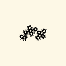 c1ccc(-c2cc(-c3cccc(-c4c5ccccc5c(-c5cccc(-c6ccnc7ccccc67)c5)c5ccccc45)c3)cc(-c3ccccc3)c2-c2ccccc2)cc1